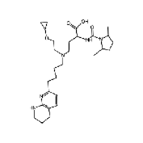 CC1CCC(C)N1C(=O)NC(CCN(CCCCc1ccc2c(n1)NCCC2)CCOC1CC1)C(=O)O